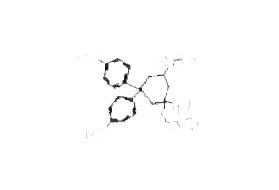 CNC1CC(NC)(NC)CC(c2ccc(O)cc2)(c2ccc(O)cc2)C1